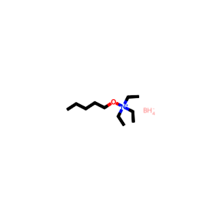 CCCCCO[N+](CC)(CC)CC.[BH4-]